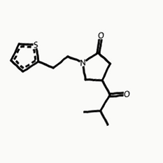 CC(C)C(=O)C1CC(=O)N(CCc2cccs2)C1